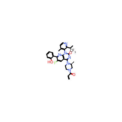 C=CC(=O)N1CCN(c2nc(=O)n(-c3c(C)ccnc3C(C)C(F)(F)F)c3nc(-c4ccccc4O)c(F)cc23)[C@@H](C)C1